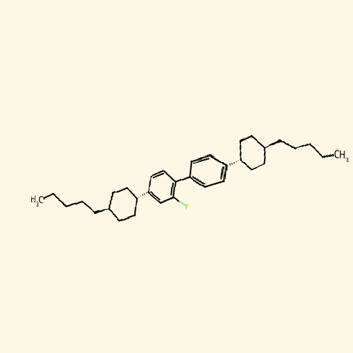 CCCCC[C@H]1CC[C@H](c2ccc(-c3ccc([C@H]4CC[C@H](CCCCC)CC4)cc3F)cc2)CC1